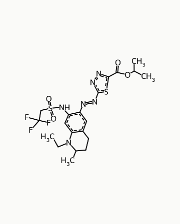 CCN1c2cc(NS(=O)(=O)CC(F)(F)F)c(N=Nc3nnc(C(=O)OC(C)C)s3)cc2CCC1C